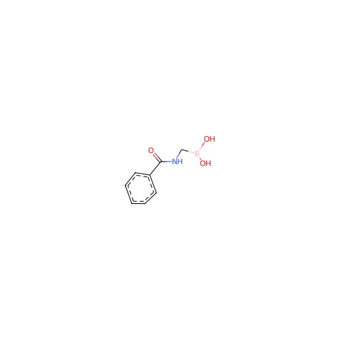 O=C(NCB(O)O)c1ccccc1